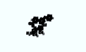 Cc1cc(Nc2cc(Cc3ccccc3)cc(-c3cccc([N+](=O)[O-])c3)n2)nn1C(=O)OC(C)(C)C